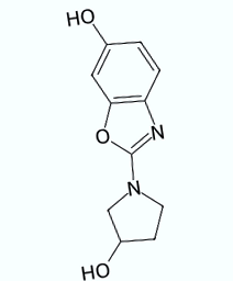 Oc1ccc2nc(N3CCC(O)C3)oc2c1